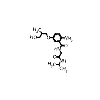 CC(CO)COc1ccc(N)c(C(=O)NCC(=O)NC(C)C)c1